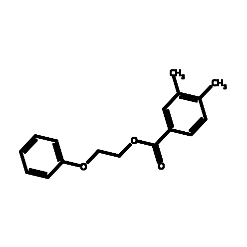 Cc1ccc(C(=O)OCCOc2ccccc2)cc1C